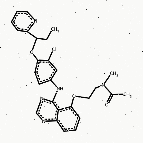 CCC(Oc1ccc(Nc2ncnc3cccc(OCCN(C)C(C)=O)c23)cc1Cl)c1ccccn1